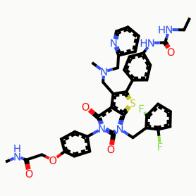 CCNC(=O)Nc1ccc(-c2sc3c(c2CN(C)Cc2ccccn2)c(=O)n(-c2ccc(OCC(=O)NC)cc2)c(=O)n3Cc2c(F)cccc2F)cc1